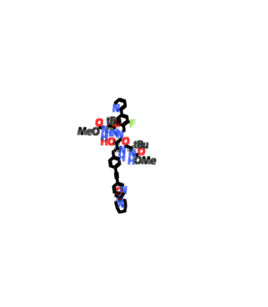 COC(=O)N[C@H](C(=O)N[C@@H](Cc1ccc(C#Cc2ccc(N3CC4CCC(C3)N4C3COC3)nc2)cc1)[C@@H](O)CN(Cc1c(F)cc(-c2ccccn2)cc1F)NC(=O)[C@@H](NC(=O)OC)C(C)(C)C)C(C)(C)C